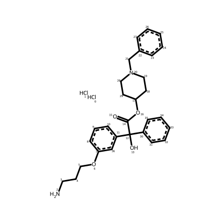 Cl.Cl.NCCCOc1cccc(C(O)(C(=O)OC2CCN(Cc3ccccc3)CC2)c2ccccc2)c1